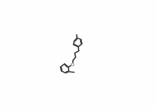 Cc1ccc(CCCCOc2ccccc2C)cc1